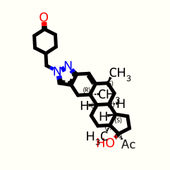 CC(=O)[C@@]1(O)CC[C@H]2[C@@H]3C[C@H](C)C4=Cc5nn(CC6CCC(=O)CC6)cc5C[C@]4(C)[C@H]3CC[C@@]21C